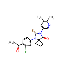 CNC(=O)c1ccc(N2C(=S)N(c3cnc(C)c(C(F)(F)F)c3)C(=O)C23CCC3)cc1F